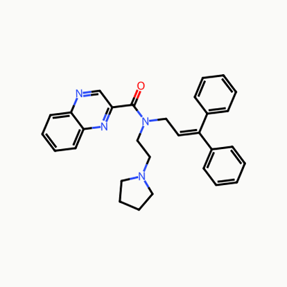 O=C(c1cnc2ccccc2n1)N(CC=C(c1ccccc1)c1ccccc1)CCN1CCCC1